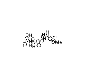 COc1ccc(Nc2nccc(Oc3ccc(NC(=O)Nc4cc(O)nn4-c4ccc(C)cc4)c4ccccc34)n2)cc1Cl